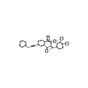 O=C1/C(=C/c2ccc(Cl)c(Cl)c2)[S+]([O-])Nc2ccc(C#CCc3ccccc3)cc21